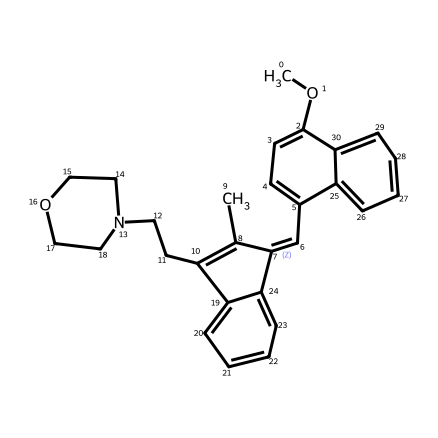 COc1ccc(/C=C2\C(C)=C(CCN3CCOCC3)c3ccccc32)c2ccccc12